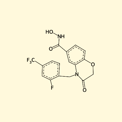 O=C(NO)c1ccc2c(c1)N(Cc1ccc(C(F)(F)F)cc1F)C(=O)CO2